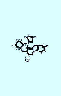 Cc1ccc2c(c1)Cc1c-2ccc(C)[c]1[Ti+2]([C]1=CC=CC1)=[C]1CCCCC1.[Cl-].[Cl-]